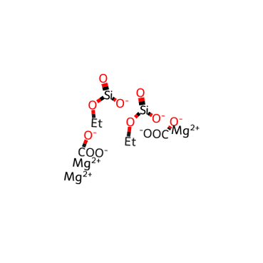 CCO[Si](=O)[O-].CCO[Si](=O)[O-].O=C([O-])[O-].O=C([O-])[O-].[Mg+2].[Mg+2].[Mg+2]